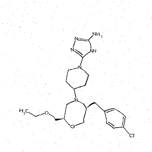 CCOC[C@H]1CN(C2CCN(c3nnc(N)[nH]3)CC2)[C@@H](Cc2ccc(Cl)cc2)CO1